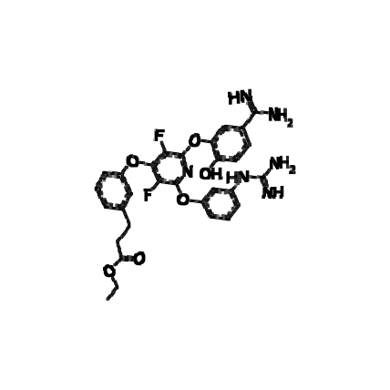 CCOC(=O)CCc1cccc(Oc2c(F)c(Oc3cccc(NC(=N)N)c3)nc(Oc3cc(C(=N)N)ccc3O)c2F)c1